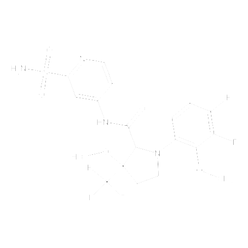 COc1c(N2CCC(OC)(C(F)(F)F)C2C(=O)Nc2ccnc(S(N)(=O)=O)c2)ccc(F)c1F